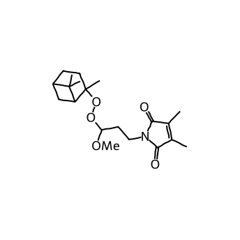 COC(CCN1C(=O)C(C)=C(C)C1=O)OOC1(C)CCC2CC1C2(C)C